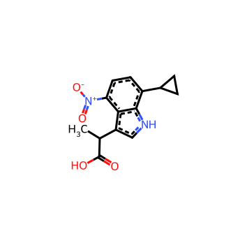 CC(C(=O)O)c1c[nH]c2c(C3CC3)ccc([N+](=O)[O-])c12